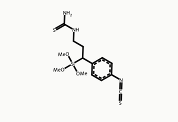 CO[Si](OC)(OC)C(CCNC(N)=S)c1ccc(N=C=S)cc1